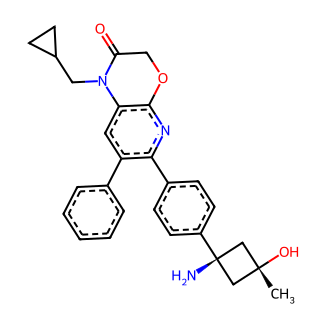 C[C@]1(O)C[C@@](N)(c2ccc(-c3nc4c(cc3-c3ccccc3)N(CC3CC3)C(=O)CO4)cc2)C1